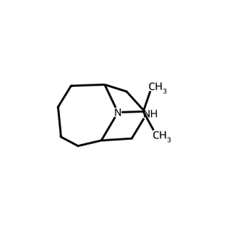 CC(C)N1C2CCCCC1CNC2